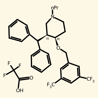 CCCN1CC[C@@H](OCc2cc(C(F)(F)F)cc(C(F)(F)F)c2)[C@@H](C(c2ccccc2)c2ccccc2)C1.O=C(O)C(F)(F)F